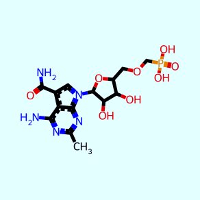 Cc1nc(N)c2c(C(N)=O)cn(C3OC(COCP(=O)(O)O)C(O)C3O)c2n1